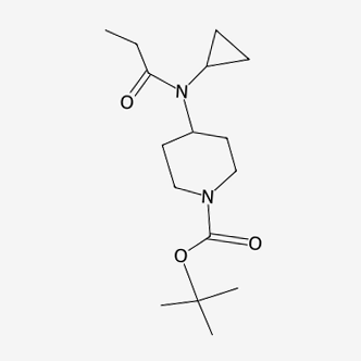 CCC(=O)N(C1CC1)C1CCN(C(=O)OC(C)(C)C)CC1